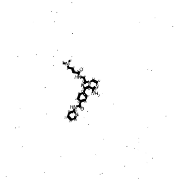 CN(C)C/C=C/C(=O)NCc1nc(-c2ccc(C(=O)Nc3ccccn3)cc2)c2c(N)nccn12